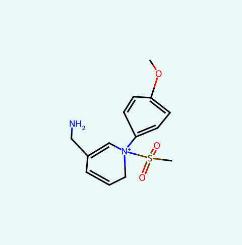 COc1ccc([N+]2(S(C)(=O)=O)C=C(CN)C=CC2)cc1